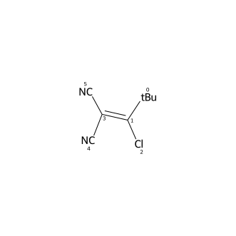 CC(C)(C)C(Cl)=C(C#N)C#N